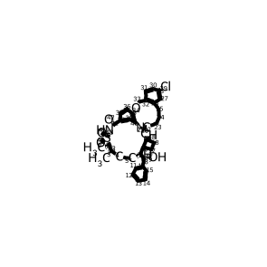 C[C@@H]1[C@@H](C)CCC[C@H]([C@H](O)c2ccccc2)[C@@H]2CC[C@H]2CN2CCCCc3cc(Cl)ccc3COc3ccc(cc32)C(=O)NS1(=O)=O